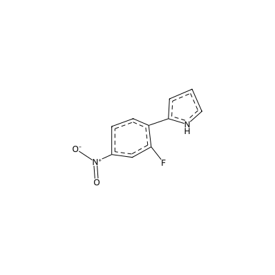 O=[N+]([O-])c1ccc(-c2ccc[nH]2)c(F)c1